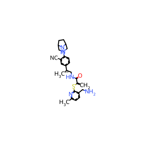 C=C(Sc1nc(C)ccc1CN)C(=O)NC[C@@H](C)c1ccc(N2CC3CCC(C2)N3)c(C#N)c1